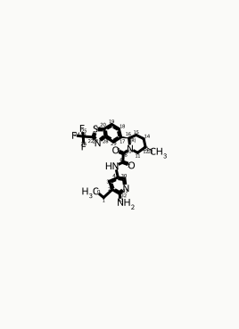 CCc1cc(NC(=O)C(=O)N2C[C@@H](C)CC[C@@H]2c2ccc3sc(C(F)(F)F)nc3c2)cnc1N